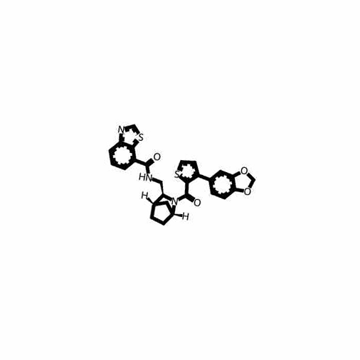 O=C(NC[C@@H]1[C@H]2CC[C@H](C2)N1C(=O)c1sccc1-c1ccc2c(c1)OCO2)c1cccc2ncsc12